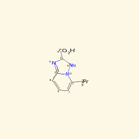 CC(C)C1=CC=CC2=NC(C(=O)O)NN12